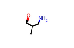 C[C@@H](C=O)CN